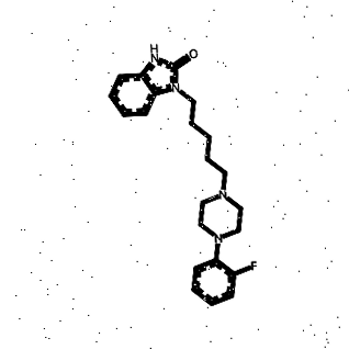 O=c1[nH]c2ccccc2n1CCCCCN1CCN(c2ccccc2F)CC1